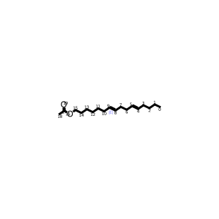 CCCCC=CCC/C=C/CCCCCCOC(C)=O